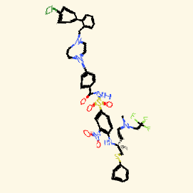 CN(CC[C@H](CSc1ccccc1)Nc1ccc(S(=O)(=O)NC(=O)c2ccc(N3CCN(Cc4ccccc4-c4ccc(Cl)cc4)CC3)cc2)cc1[N+](=O)[O-])CC(F)(F)F